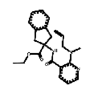 C=CCN(C)c1ncccc1C(=O)NC1(C(=O)OCC)Cc2ccccc2C1